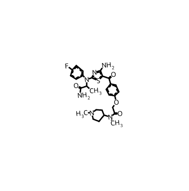 CC(C(N)=O)N(c1ccc(F)cc1)c1nc(N)c(C(=O)c2ccc(OCC(=O)N(C)C3CCN(C)CC3)cc2)s1